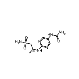 C[C@@H](CS(N)(=O)=O)Nc1ncc(NC(N)=O)cn1